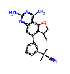 CC1COc2c1c(-c1cccc(C(C)(C)C#N)c1)cc1nc(N)nc(N)c21